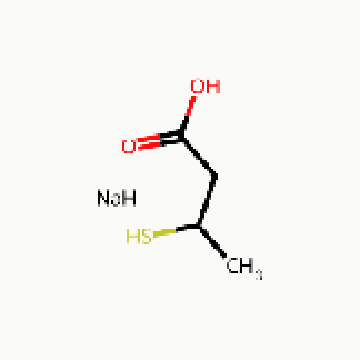 CC(S)CC(=O)O.[NaH]